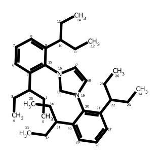 CCC(CC)c1cccc(C(CC)CC)c1N1C=CN(c2c(C(CC)CC)cccc2C(CC)CC)C1